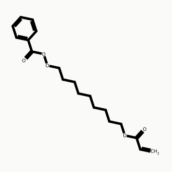 C=CC(=O)OCCCCCCCCCOOC(=O)c1ccccc1